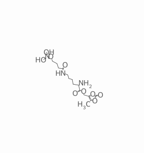 Cc1oc(=O)oc1COC(=O)C(N)CCCCNC(=O)CCCON(O)O